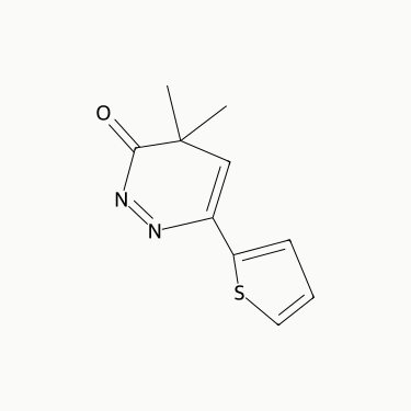 CC1(C)C=C(c2cccs2)N=NC1=O